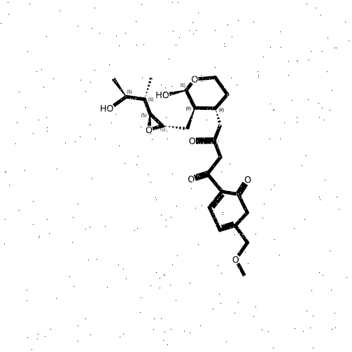 COCC1=CC=C(C(=O)CC(=O)C[C@H]2CCO[C@H](O)[C@@H]2C[C@@H]2O[C@H]2[C@@H](C)[C@H](C)O)C(=O)C1